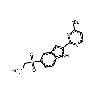 CC(C)(C)c1ccnc(-c2cc3cc(S(=O)(=O)CC(=O)O)ccc3[nH]2)n1